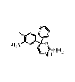 Cc1ccc(C2(c3cccnc3)C=CNC(N)=N2)cc1N